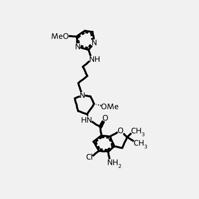 COc1ccnc(NCCCN2CC[C@@H](NC(=O)c3cc(Cl)c(N)c4c3OC(C)(C)C4)[C@@H](OC)C2)n1